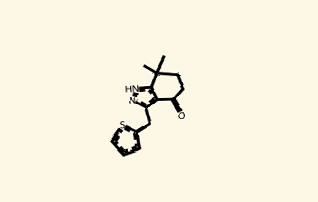 CC1(C)CCC(=O)c2c(Cc3cccs3)n[nH]c21